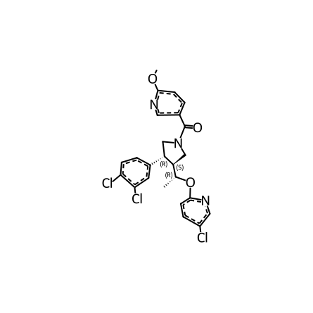 COc1ccc(C(=O)N2C[C@@H]([C@@H](C)Oc3ccc(Cl)cn3)[C@H](c3ccc(Cl)c(Cl)c3)C2)cn1